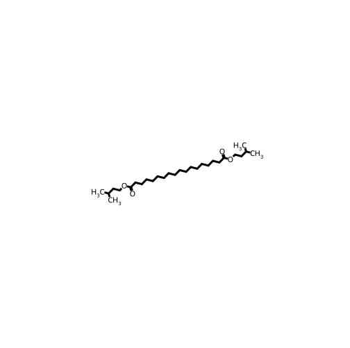 CC(C)CCOC(=O)CCCCCCCCCCCCCCCCC(=O)OCCC(C)C